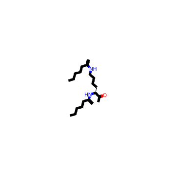 C=C(CCCCC)NCCCC[C@@H](NC(=C)CCCCC)C(C)=O